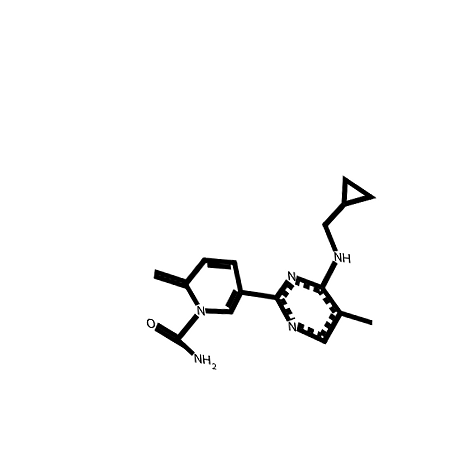 C=C1C=CC(c2ncc(C)c(NCC3CC3)n2)=CN1C(N)=O